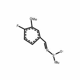 COc1cc(/C=N/[S+]([O-])C(C)(C)C)ccc1F